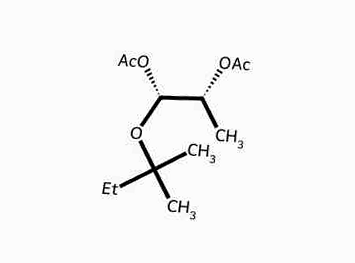 CCC(C)(C)O[C@H](OC(C)=O)[C@@H](C)OC(C)=O